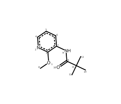 COc1ncccc1NC(=O)C(C)(C)C